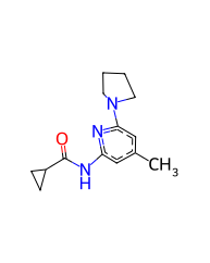 Cc1cc(NC(=O)C2CC2)nc(N2CCCC2)c1